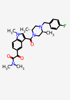 C[C@@H]1CN(Cc2ccc(F)cc2)[C@@H](C)CN1C(=O)c1cn(C)c2ccc(C(=O)C(=O)N(C)C)cc12